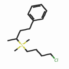 CC(CCc1ccccc1)S(C)(C)CCCCCl